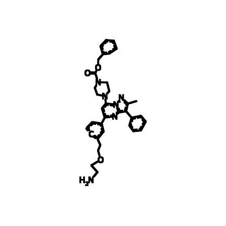 Cc1nn2c(N3CCN(C(=O)OCc4ccccc4)CC3)cc(-c3cccc(CCOCCN)c3)nc2c1-c1ccccc1